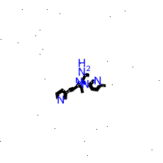 C=C(N)c1nc(C#Cc2cccnc2)c(C)n1-c1ccc(C)nc1